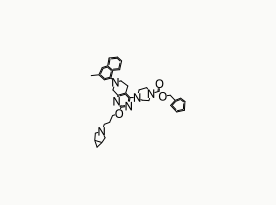 Cc1cc(N2CCc3c(nc(OCCCN4CC5CC5C4)nc3N3CCN(C(=O)OCc4ccccc4)CC3)C2)c2ccccc2c1